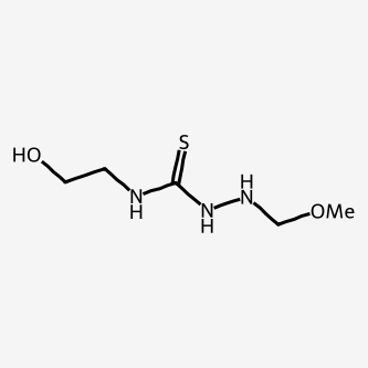 COCNNC(=S)NCCO